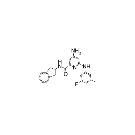 Cc1cc(F)cc(Nc2cc(N)cc(C(=O)NC3Cc4ccccc4C3)n2)c1